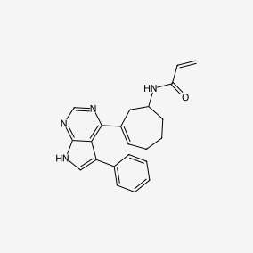 C=CC(=O)NC1CCCC=C(c2ncnc3[nH]cc(-c4ccccc4)c23)C1